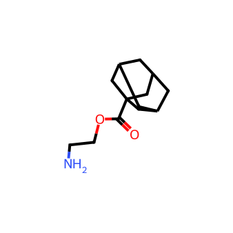 NCCOC(=O)C12CC3CC(CC(C3)C1)C2